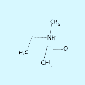 CC=O.CCNC